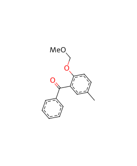 COCOc1ccc(C)cc1C(=O)c1ccccc1